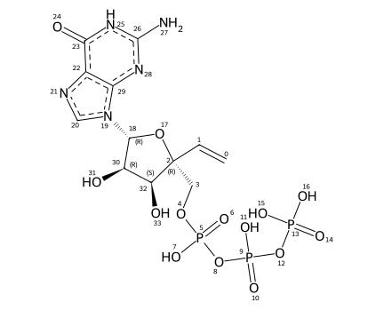 C=C[C@]1(COP(=O)(O)OP(=O)(O)OP(=O)(O)O)O[C@@H](n2cnc3c(=O)[nH]c(N)nc32)[C@H](O)[C@@H]1O